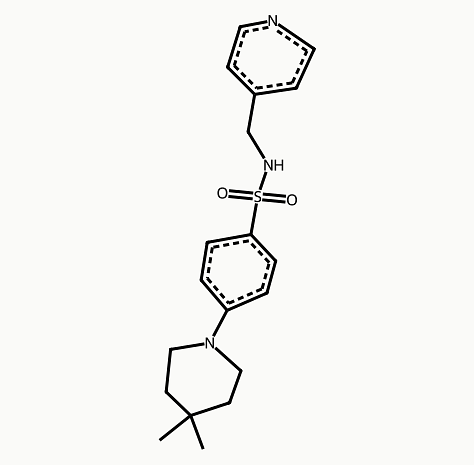 CC1(C)CCN(c2ccc(S(=O)(=O)NCc3ccncc3)cc2)CC1